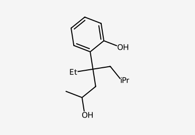 CCC(CC(C)C)(CC(C)O)c1ccccc1O